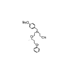 COc1ccc(CN(CCC#N)CCO[C@@H](C)CCOc2ccccc2)cc1